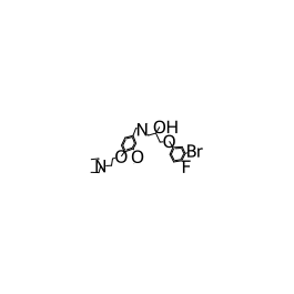 CCN(CC)CCOc1ccc(CN(C)CC(O)COc2ccc(F)c(Br)c2)cc1OC